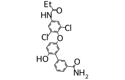 CCC(=O)Nc1cc(Cl)c(Oc2ccc(O)c(-c3cccc(C(N)=O)c3)c2)c(Cl)c1